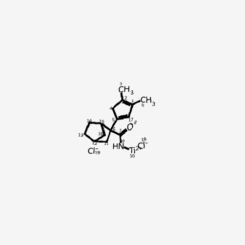 CC1=C(C)CC(C2(C(=O)[NH][Ti+2])CC3CCC2C3)=C1.[Cl-].[Cl-]